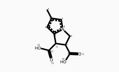 Cc1cc2n(c1)CC(C(=O)O)C2C(=O)O